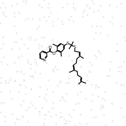 CC(C)=CCCC(C)=CCCC(C)=CCSC(C)(C)Sc1cc(C)c(OC(=O)c2cccnc2)c(C)c1